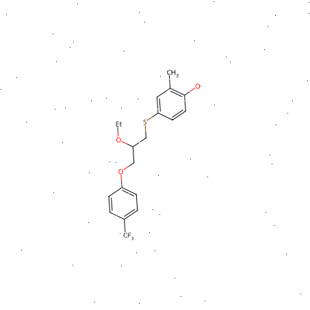 CCOC(COc1ccc(C(F)(F)F)cc1)CSc1ccc([O])c(C)c1